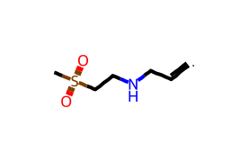 [CH]=CCNCCS(C)(=O)=O